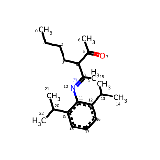 CCCCC(C(C)=O)/C(C)=N/c1c(C(C)C)cccc1C(C)C